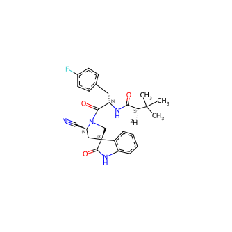 [2H][C@H](C(=O)N[C@@H](Cc1ccc(F)cc1)C(=O)N1C[C@]2(C[C@H]1C#N)C(=O)Nc1ccccc12)C(C)(C)C